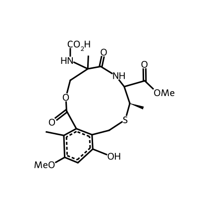 COC(=O)C1NC(=O)C(C)(NC(=O)O)COC(=O)c2c(C)c(OC)cc(O)c2CS[C@@H]1C